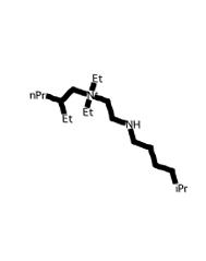 CCCC(CC)C[N+](CC)(CC)CCNCCCCC(C)C